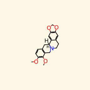 COc1ccc2c(c1OC)CN1CCc3cc4c(cc3[C@H]1C2)OCO4